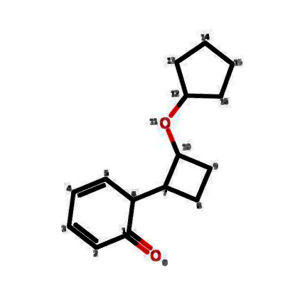 O=C1C=CC=CC1C1CCC1OC1CCCC1